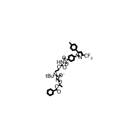 Cc1ccc(-c2cc(C(F)(F)F)nn2-c2ccc(S(=O)(=O)NC(=O)OCCN(/[N+]([O-])=N/OC(C)OC(=O)c3ccccc3)C(C)(C)C)cc2)cc1